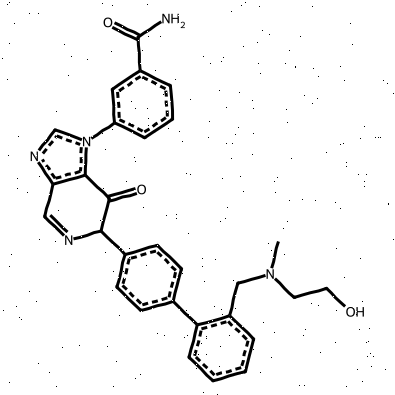 CN(CCO)Cc1ccccc1-c1ccc(C2N=Cc3ncn(-c4cccc(C(N)=O)c4)c3C2=O)cc1